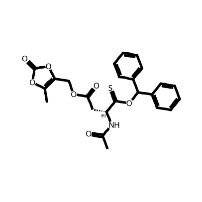 CC(=O)N[C@H](CC(=O)OCc1oc(=O)oc1C)C(=S)OC(c1ccccc1)c1ccccc1